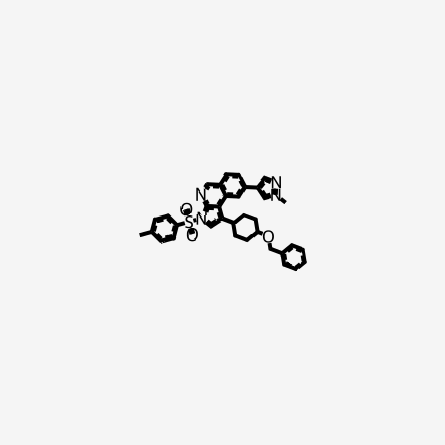 Cc1ccc(S(=O)(=O)n2cc(C3CCC(OCc4ccccc4)CC3)c3c4cc(-c5cnn(C)c5)ccc4cnc32)cc1